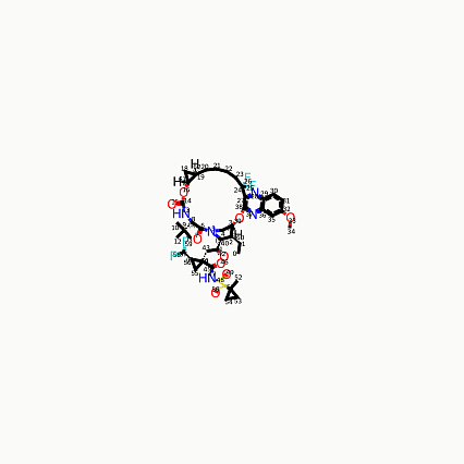 CC[C@@H]1[C@@H]2CN(C(=O)[C@H](C(C)(C)C)NC(=O)O[C@@H]3C[C@H]3CCCCC(F)(F)c3nc4ccc(OC)cc4nc3O2)[C@@H]1C(=O)C[C@]1(C(=O)NS(=O)(=O)C2(C)CC2)C[C@H]1C(F)F